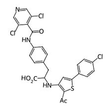 CC(=O)c1sc(-c2ccc(Cl)cc2)cc1NC(Cc1ccc(NC(=O)c2c(Cl)cncc2Cl)cc1)C(=O)O